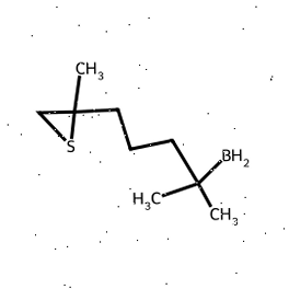 BC(C)(C)CCCC1(C)CS1